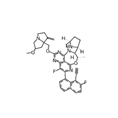 C#Cc1c(F)ccc2cccc(-c3nc4c5c(nc(OCC67C[C@@H](OC)CN6CCC7=C)nc5c3F)N3C[C@H]5CC[C@H](N5)[C@H]3[C@H](C)O4)c12